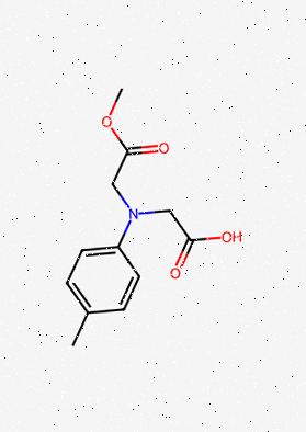 COC(=O)CN(CC(=O)O)c1ccc(C)cc1